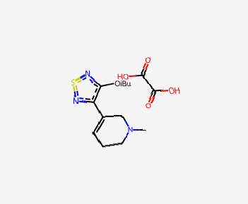 CC(C)COc1nsnc1C1=CCCN(C)C1.O=C(O)C(=O)O